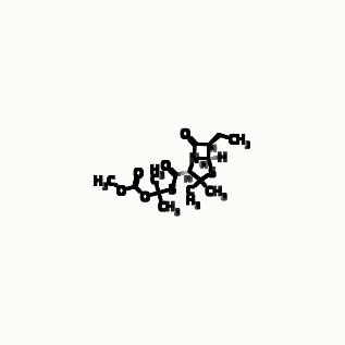 CC[C@@H]1C(=O)N2[C@@H]1SC(C)(C)[C@@H]2C(=O)SC(C)(C)OC(=O)OC